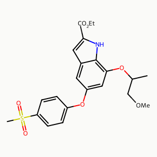 CCOC(=O)c1cc2cc(Oc3ccc(S(C)(=O)=O)cc3)cc(OC(C)COC)c2[nH]1